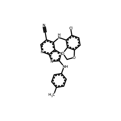 Cc1ccc(Nc2nc3ncc(C#N)c(Nc4c(Cl)ccc5c4OCO5)c3s2)cc1